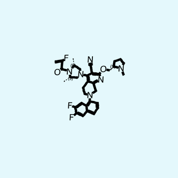 C=C(F)C(=O)N1[C@H](C)CN(c2c(C#N)c(OC[C@@H]3CCCN3C)nc3c2CCN(c2cccc4cc(F)c(F)cc24)C3)C[C@@H]1C